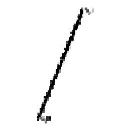 O=C(O)CCOCCOCCOCCOCCOCCOCCOCCOCCOCCOCCOCCOCCOCCOCCOCCOCCOCCOCCOCCOCCOCCOCCOCCOCCOCCOCCC(=O)O